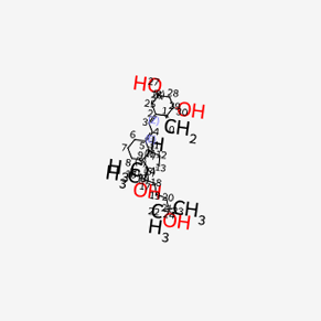 C=C1/C(=C\C=C2/CCC[C@@]3(C)[C@H]2CC[C@@H]3[C@@](C)(O)CCCC(C)(C)O)C[C@@H](O)CC1O